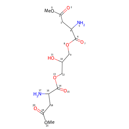 COC(=O)CC(N)C(=O)OCC(O)COC(=O)C(N)CC(=O)OC